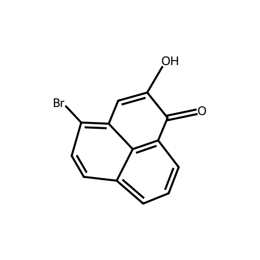 O=C1C(O)=Cc2c(Br)ccc3cccc1c23